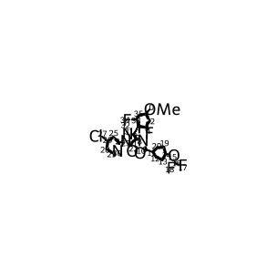 COc1cc(F)c(-c2c(NC(=O)c3ccc(OC(F)F)cc3)c(=O)n(-c3cc(Cl)ccn3)n2C)c(F)c1